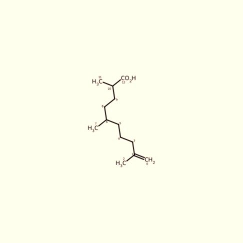 C=C(C)CCCC(C)CCC(C)C(=O)O